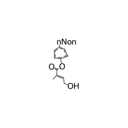 CCCCCCCCCc1ccc(OC(=O)C(C)=CCO)cc1